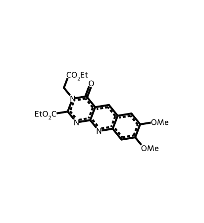 CCOC(=O)Cn1c(C(=O)OCC)nc2nc3cc(OC)c(OC)cc3cc2c1=O